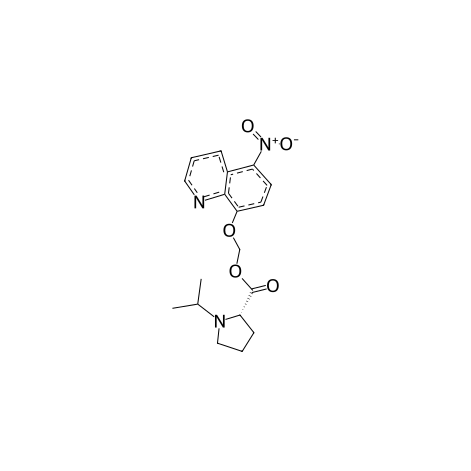 CC(C)N1CCC[C@H]1C(=O)OCOc1ccc([N+](=O)[O-])c2cccnc12